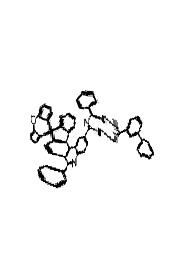 c1ccc(-c2cccc(-c3nc(-c4ccccc4)nc(-c4ccc5nc(-c6ccccc6)c6ccc7c(c6c5c4)-c4ccccc4C74c5ccccc5Oc5ccccc54)n3)c2)cc1